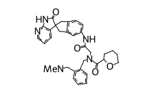 CNCc1ccccc1CN(CC(=O)Nc1ccc2c(c1)CC1(C2)C(=O)Nc2ncccc21)C(=O)C1CCCCO1